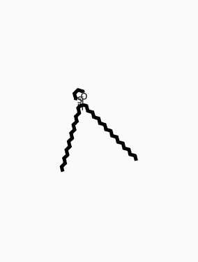 CCCCCCCCCCCCCCCCCCC(CCCCCCCCCCCCCCCC)[SiH]1CCCCO1